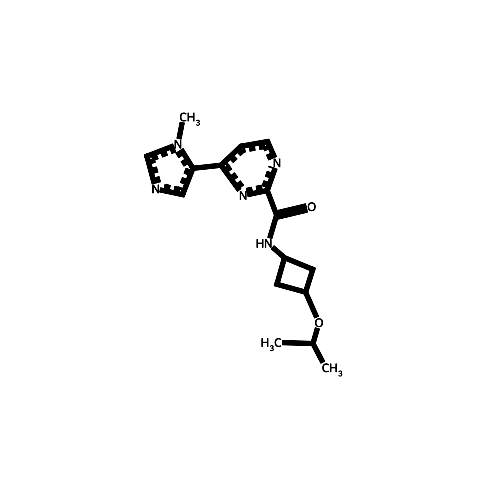 CC(C)OC1CC(NC(=O)c2nccc(-c3cncn3C)n2)C1